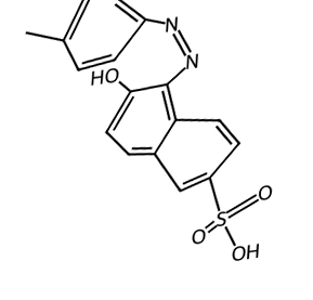 Cc1ccc(/N=N\c2c(O)ccc3cc(S(=O)(=O)O)ccc23)cc1